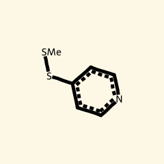 CSSc1ccncc1